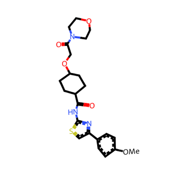 COc1ccc(-c2csc(NC(=O)C3CCC(OCC(=O)N4CCOCC4)CC3)n2)cc1